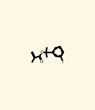 C=C(C)C(=O)OC(C)(C)c1cccc(I)c1